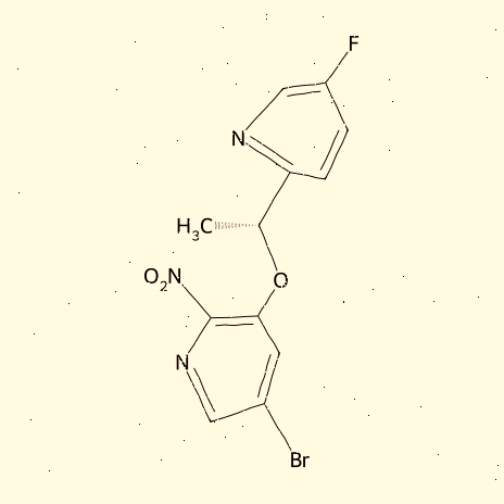 C[C@@H](Oc1cc(Br)cnc1[N+](=O)[O-])c1ccc(F)cn1